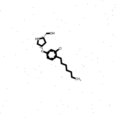 CCCCCCCc1ccc(O[C@@H]2CN[C@H](CO)C2)cc1Cl